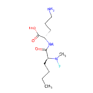 CCCC[C@@H](C(=O)N[C@@H](CCCN)C(=O)O)N(C)F